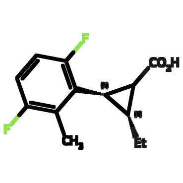 CC[C@H]1C(C(=O)O)[C@H]1c1c(F)ccc(F)c1C